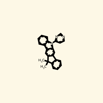 CC1(C)c2ccccc2-c2cc3c(cc21)c1ccccc1n3-c1ccncn1